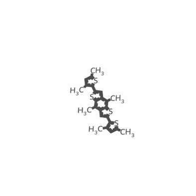 Cc1cc(C)c(-c2cc3c(C)c4sc(-c5sc(C)cc5C)cc4c(C)c3s2)s1